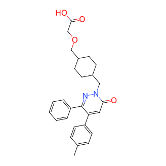 Cc1ccc(-c2cc(=O)n(CC3CCC(COCC(=O)O)CC3)nc2-c2ccccc2)cc1